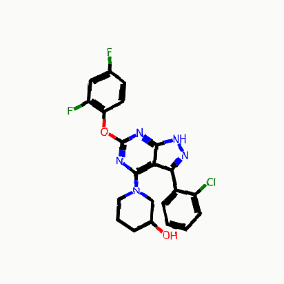 OC1CCCN(c2nc(Oc3ccc(F)cc3F)nc3[nH]nc(-c4ccccc4Cl)c23)C1